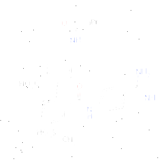 CC(C)C(=O)NCc1ccc(-c2ccccc2C(=O)Nc2ccc(C(=N)N)cc2)c(C(=O)O)c1.CS(=O)(=O)O